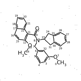 COc1cccc(CN(C(=O)c2c(OC)ccc3ccccc23)C2Cc3ccccc3C2)c1